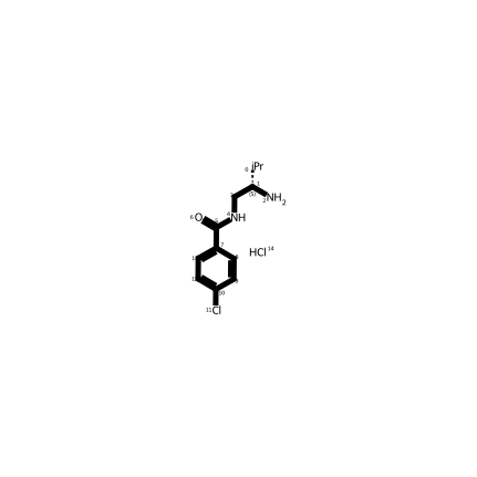 CC(C)[C@H](N)CNC(=O)c1ccc(Cl)cc1.Cl